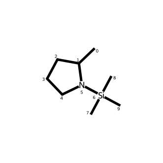 CC1CCCN1[Si](C)(C)C